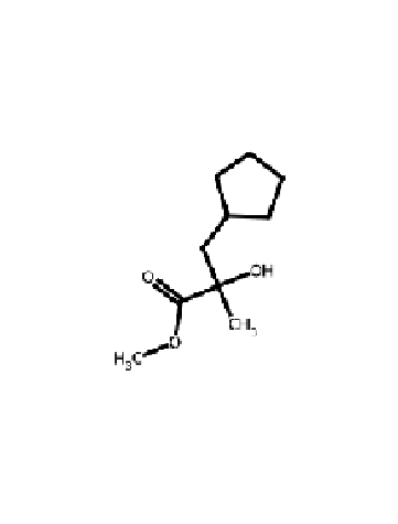 COC(=O)C(C)(O)CC1CCCC1